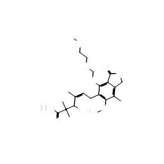 COCCOCOc1c(CC=C(C)C(O)C(C)(C)C(=O)O)c(OC)c(C)c2c1C(=O)OC2